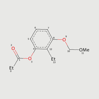 CCC(=O)Oc1cccc(OCOC)c1CC